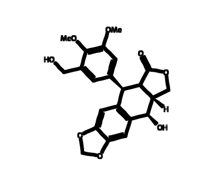 COc1cc([C@@H]2c3cc4c(cc3[C@H](O)[C@H]3COC(=O)C23)OCO4)cc(CO)c1OC